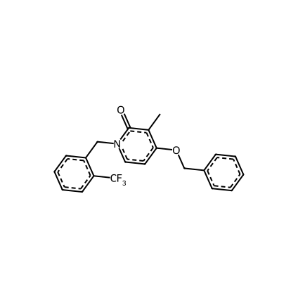 Cc1c(OCc2ccccc2)ccn(Cc2ccccc2C(F)(F)F)c1=O